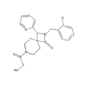 CC(C)(C)OC(=O)N1CCC2(CC1)C(=O)N(Cc1ccccc1Cl)C2c1ccccn1